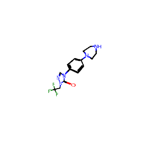 O=c1n(-c2ccc(N3CCNCC3)cc2)cnn1CC(F)(F)F